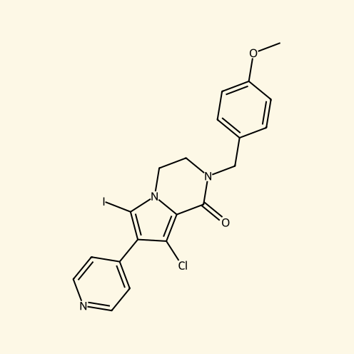 COc1ccc(CN2CCn3c(I)c(-c4ccncc4)c(Cl)c3C2=O)cc1